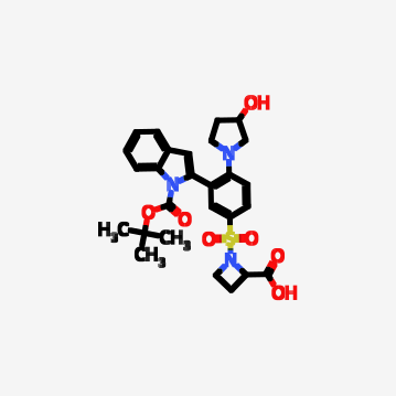 CC(C)(C)OC(=O)n1c(-c2cc(S(=O)(=O)N3CCC3C(=O)O)ccc2N2CCC(O)C2)cc2ccccc21